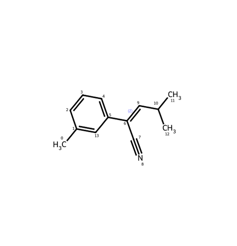 Cc1cccc(/C(C#N)=C/C(C)C)c1